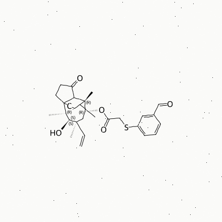 C=C[C@]1(C)C[C@@H](OC(=O)CSc2cccc(C=O)c2)[C@]2(C)C(C)CCC3(CCC(=O)C32)[C@@H](C)[C@@H]1O